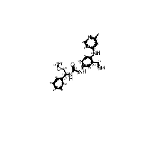 Cc1cc(Nc2cnc(NC(=O)N[C@H](COC(C)C)c3ccccc3)cc2C=N)ccn1